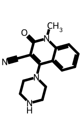 Cn1c(=O)c(C#N)c(N2CCNCC2)c2ccccc21